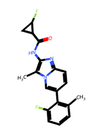 Cc1cccc(F)c1-c1ccc2nc(NC(=O)C3CC3F)c(C)n2c1